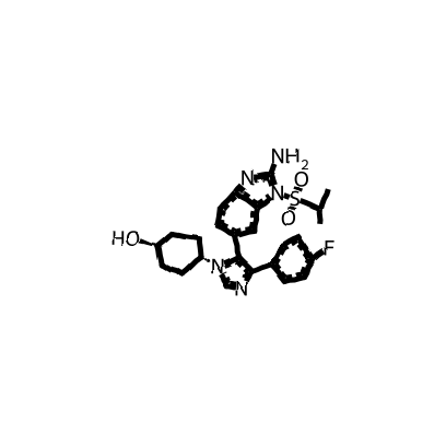 CC(C)S(=O)(=O)n1c(N)nc2ccc(-c3c(-c4ccc(F)cc4)ncn3[C@H]3CC[C@H](O)CC3)cc21